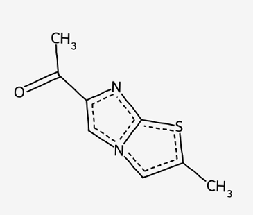 CC(=O)c1cn2cc(C)sc2n1